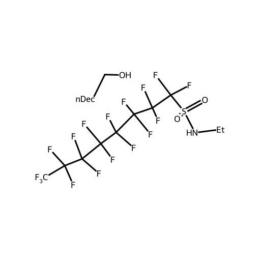 CCCCCCCCCCCO.CCNS(=O)(=O)C(F)(F)C(F)(F)C(F)(F)C(F)(F)C(F)(F)C(F)(F)C(F)(F)C(F)(F)F